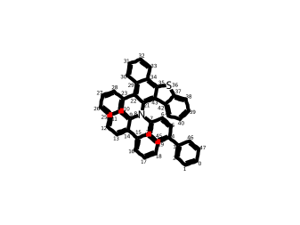 c1ccc(-c2ccc(N(c3ccccc3-c3ccccc3)c3c(-c4ccccc4)c4ccccc4c4sc5ccccc5c34)cc2)cc1